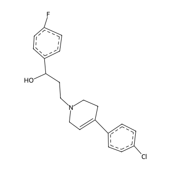 OC(CCN1CC=C(c2ccc(Cl)cc2)CC1)c1ccc(F)cc1